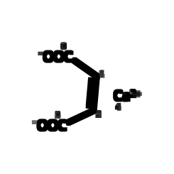 O=C([O-])/C=C\C(=O)[O-].[Ca+2]